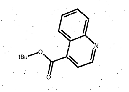 CC(C)(C)OC(=O)c1ccnc2ccccc12